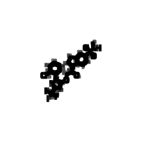 CNS(=O)(=O)c1ccc2c(c1)CCN2C(=O)COc1cc(C(F)(F)F)nn1-c1ccccc1Cl